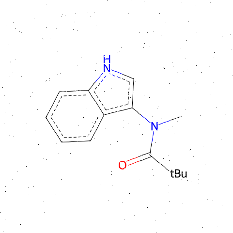 CN(C(=O)C(C)(C)C)c1c[nH]c2ccccc12